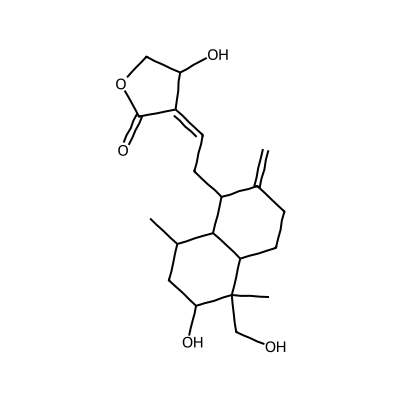 C=C1CCC2C(C(C)CC(O)C2(C)CO)C1CC=C1C(=O)OCC1O